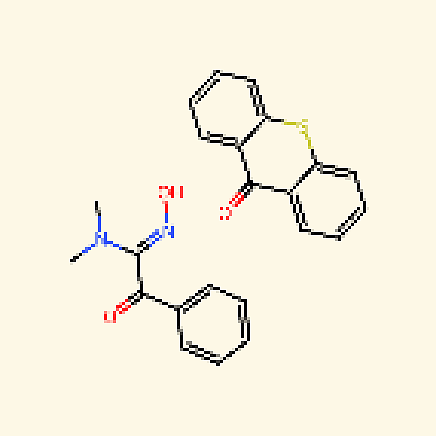 CN(C)C(=NO)C(=O)c1ccccc1.O=c1c2ccccc2sc2ccccc12